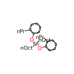 CCCCCCC[CH2][Sn]([CH2]CCCCCCC)([O]c1ccccc1CCC)[O]c1ccccc1CCC